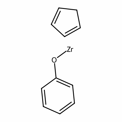 C1=CCC=C1.[Zr][O]c1ccccc1